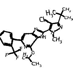 CC(C)Oc1nc(-c2ccccc2C(F)(F)F)cc2nc(-c3c(Cl)c(C(C)(C)C)nn3C)[nH]c12